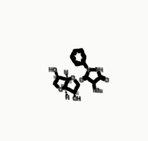 CCCCC1C(=O)NN(c2ccccc2)C1=O.O[C@@H]1CO[C@H]2[C@@H]1OC[C@@H]2O